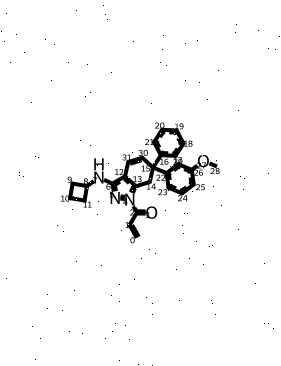 C=CC(=O)n1nc(NC2CCC2)c2c1CC(c1ccccc1)(c1cccc(OC)c1)C=C2